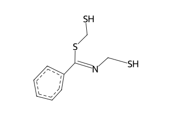 SC/N=C(\SCS)c1ccccc1